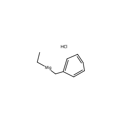 C[CH2][Mg][CH2]c1ccccc1.Cl